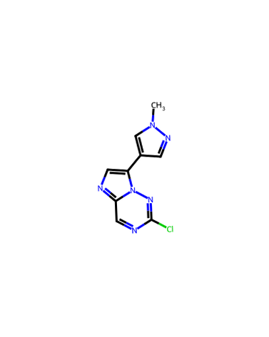 Cn1cc(-c2cnc3cnc(Cl)nn23)cn1